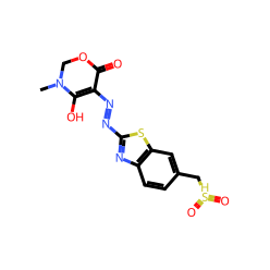 CN1COC(=O)C(N=Nc2nc3ccc(C[SH](=O)=O)cc3s2)=C1O